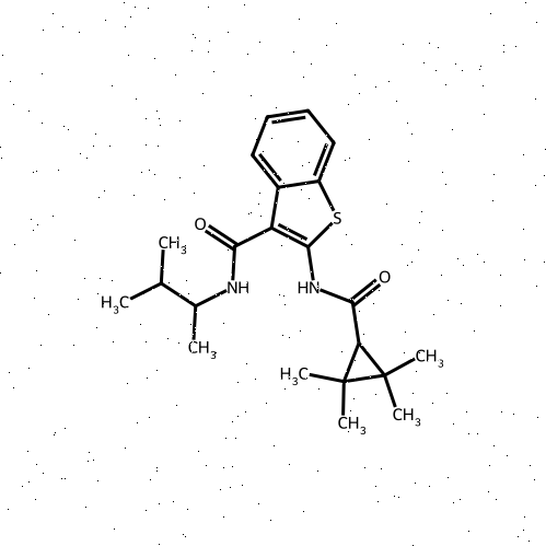 CC(C)C(C)NC(=O)c1c(NC(=O)C2C(C)(C)C2(C)C)sc2ccccc12